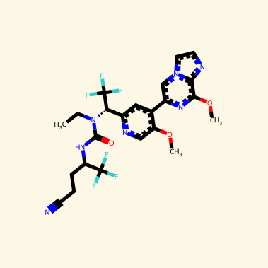 CCN(C(=O)NC(CCC#N)C(F)(F)F)[C@@H](c1cc(-c2cn3ccnc3c(OC)n2)c(OC)cn1)C(F)(F)F